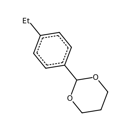 CCc1ccc(C2OCCCO2)cc1